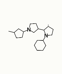 CC1CCC(N2CCC(C3[CH]CCN3C3CCCCC3)C2)C1